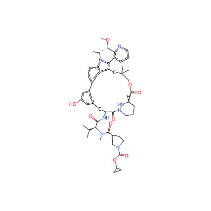 CCn1c(-c2cccnc2[C@H](C)OC)c2c3cc(ccc31)-c1cc(O)cc(c1)C[C@H](NC(=O)[C@H](C(C)C)N(C)C(=O)[C@H]1CCN(C(=O)OC3CC3)C1)C(=O)N1CCC[C@H](N1)C(=O)OCC(C)(C)C2